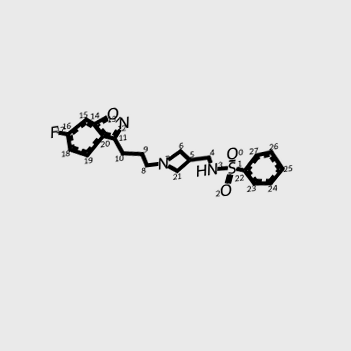 O=S(=O)(NCC1CN(CCCc2noc3cc(F)ccc23)C1)c1ccccc1